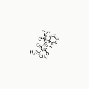 CC(C)N1C(=O)SC(Cc2ccccc2OC(=O)C2CC2)C1=O